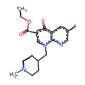 CCOC(=O)c1cn(CC2CCN(C)CC2)c2ncc(I)cc2c1=O